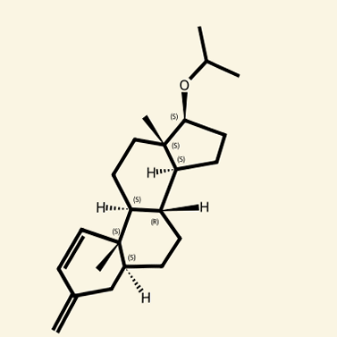 C=C1C=C[C@@]2(C)[C@@H](CC[C@@H]3[C@@H]2CC[C@]2(C)[C@@H](OC(C)C)CC[C@@H]32)C1